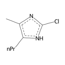 CCCc1[nH]c(Cl)nc1C